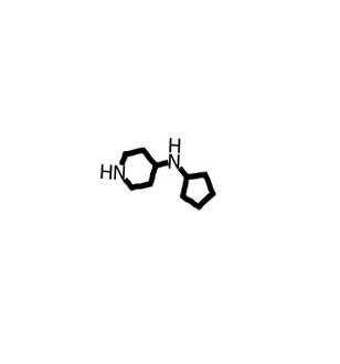 C1CCC(NC2CCNCC2)C1